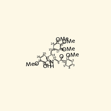 COc1ccccc1C(=O)C=CNc1c(C=Cc2cc(OC)c(OC)c(OC)c2)ccc(OC)c1O